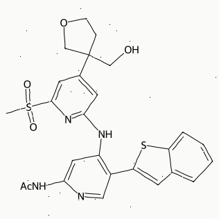 CC(=O)Nc1cc(Nc2cc(C3(CO)CCOC3)cc(S(C)(=O)=O)n2)c(-c2cc3ccccc3s2)cn1